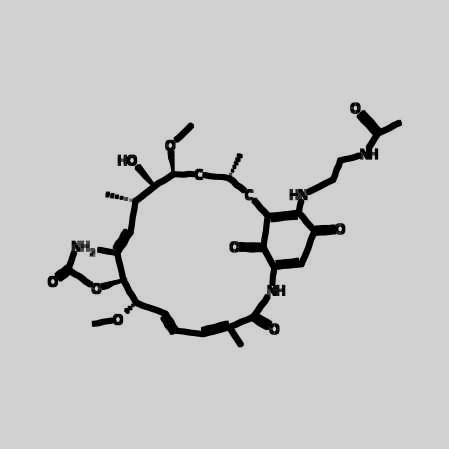 CO[C@H]1/C=C/C=C(/C)C(=O)NC2=CC(=O)C(NCCNC(C)=O)=C(C[C@@H](C)C[C@H](OC)[C@H](O)[C@@H](C)/C=C(\C)[C@@H]1OC(N)=O)C2=O